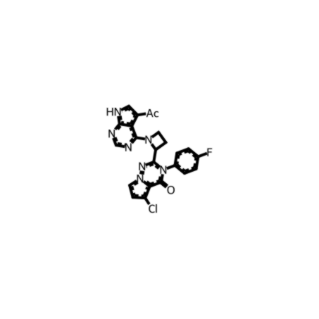 CC(=O)c1c[nH]c2ncnc(N3CCC3c3nn4ccc(Cl)c4c(=O)n3-c3ccc(F)cc3)c12